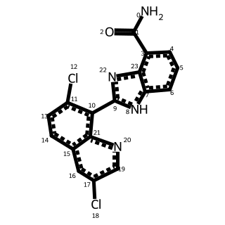 NC(=O)c1cccc2[nH]c(-c3c(Cl)ccc4cc(Cl)cnc34)nc12